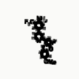 COc1ccc(Cn2c(-c3cc(-c4cnc(N)c(C(F)(F)F)c4)ccn3)cn(C)c2=O)cc1